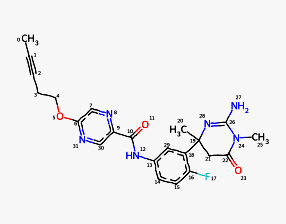 CC#CCCOc1cnc(C(=O)Nc2ccc(F)c(C3(C)CC(=O)N(C)C(N)=N3)c2)cn1